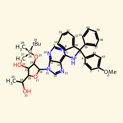 COc1ccc(C(Nc2ncnc3c2ncn3C2OC(C(C)O)C(O)C2O[Si](C)(C)C(C)(C)C)(c2ccccc2)c2ccccc2)cc1